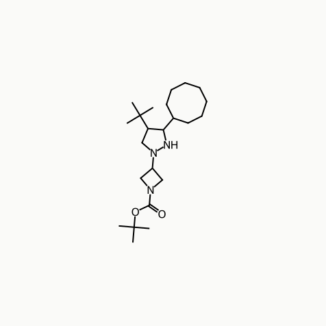 CC(C)(C)OC(=O)N1CC(N2CC(C(C)(C)C)C(C3CCCCCCC3)N2)C1